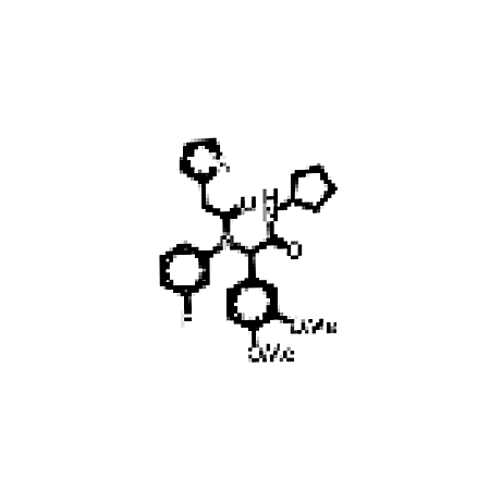 COc1ccc(C(C(=O)NC2CCCC2)N(C(=O)Cc2cccs2)c2cccc(F)c2)cc1OC